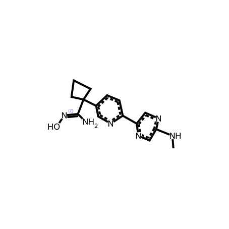 CNc1cnc(-c2ccc(C3(/C(N)=N/O)CCC3)cn2)cn1